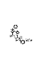 CSc1cccc(NC(=O)C2CCN(C(=O)c3cnn(-c4ccccc4)c3-n3cccc3)CC2)c1